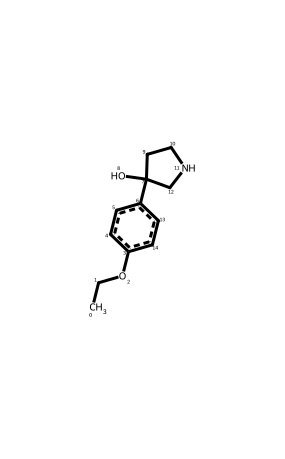 CCOc1ccc(C2(O)CCNC2)cc1